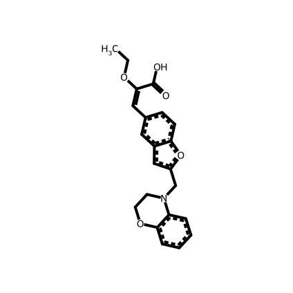 CCO/C(=C/c1ccc2oc(CN3CCOc4ccccc43)cc2c1)C(=O)O